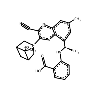 Cc1cc([C@@H](C)Nc2ccccc2C(=O)O)c2nc(N3CC4CC(C3)C4(C)O)c(C#N)nc2c1